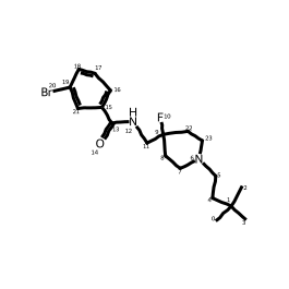 CC(C)(C)CCN1CCC(F)(CNC(=O)c2cccc(Br)c2)CC1